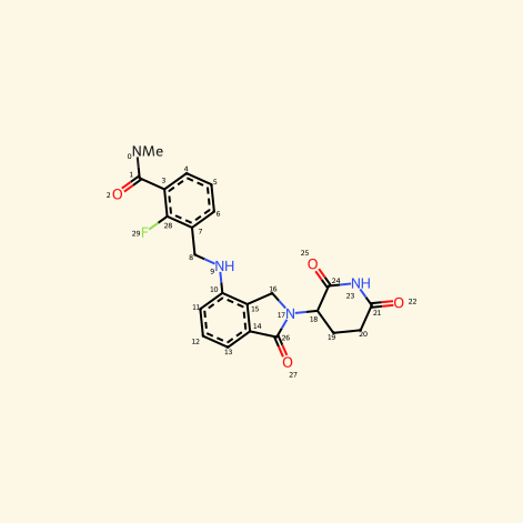 CNC(=O)c1cccc(CNc2cccc3c2CN(C2CCC(=O)NC2=O)C3=O)c1F